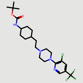 CC(C)(C)OC(=O)NC1CCC(CCN2CCN(c3ncc(C(F)(F)F)cc3Cl)CC2)CC1